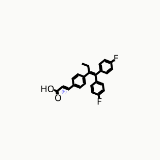 CCC(=C(c1ccc(F)cc1)c1ccc(F)cc1)c1ccc(/C=C/C(=O)O)cc1